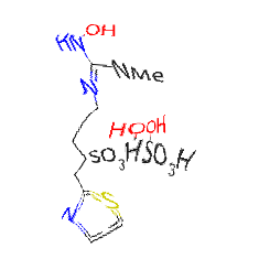 CN/C(=N\CCCCc1nccs1)NO.O=S(=O)(O)O.O=S(=O)(O)O